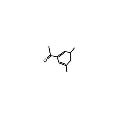 CC(=O)C1=CC(C)CC(C)=C1